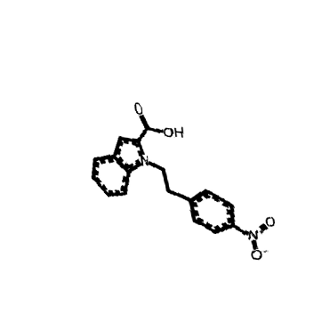 O=C(O)c1cc2ccccc2n1CCc1ccc([N+](=O)[O-])cc1